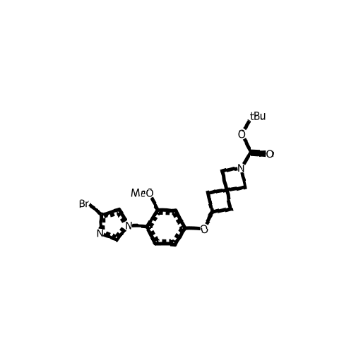 COc1cc(OC2CC3(C2)CN(C(=O)OC(C)(C)C)C3)ccc1-n1cnc(Br)c1